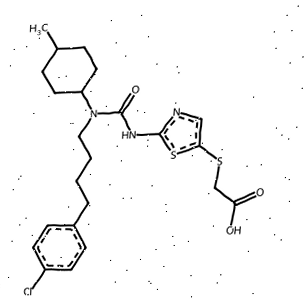 CC1CCC(N(CCCCc2ccc(Cl)cc2)C(=O)Nc2ncc(SCC(=O)O)s2)CC1